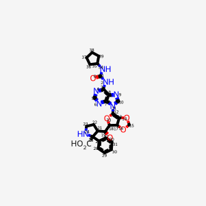 O=C(Nc1ncnc2c1ncn2C1=C2OCOC2C(C(=O)C2CCNC2(C(=O)O)c2ccccc2)O1)NC1CCCC1